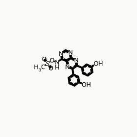 CS(=O)(=O)ONc1ncnc2nc(-c3cccc(O)c3)c(-c3cccc(O)c3)nc12